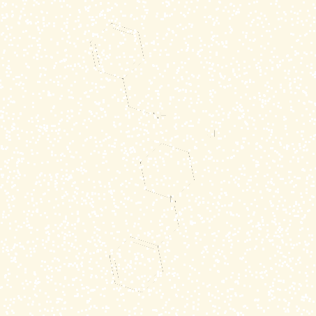 C[C@@H]1CN(Cc2ccccc2)CC[C@@H]1NCc1ccccc1